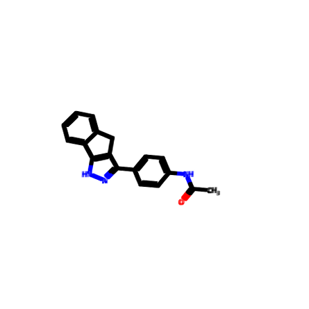 CC(=O)Nc1ccc(-c2n[nH]c3c2Cc2ccccc2-3)cc1